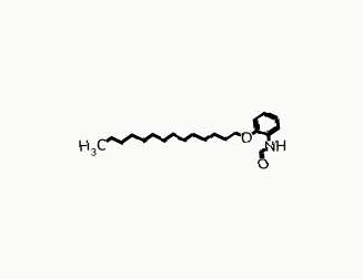 CCCCCCCCCCCCCCOc1ccccc1NC=O